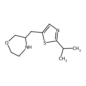 CC(C)c1ncc(CC2COCCN2)s1